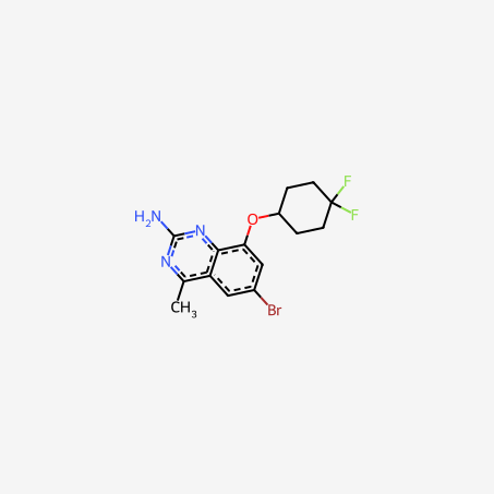 Cc1nc(N)nc2c(OC3CCC(F)(F)CC3)cc(Br)cc12